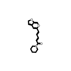 O=C(C=CC=CC1=CC2=CCOC2=CO1)N1CCCCC1